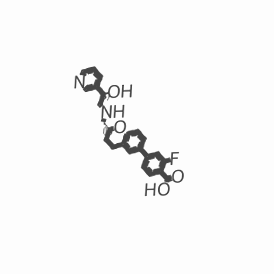 O=C(O)c1ccc(-c2ccc3c(c2)CC[C@H](CNC[C@@H](O)c2cccnc2)O3)cc1F